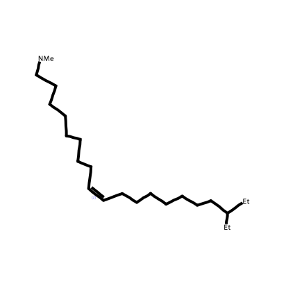 CCC(CC)CCCCCCC/C=C\CCCCCCCCNC